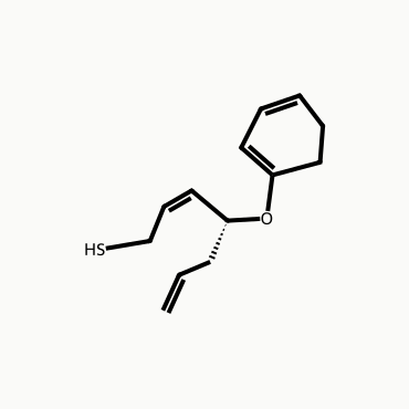 C=CC[C@H](/C=C\CS)OC1=CC=CCC1